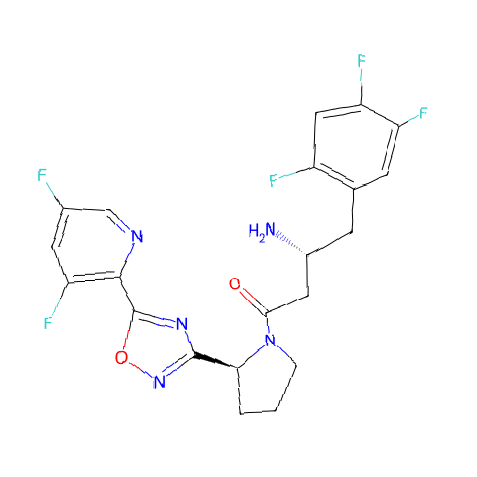 N[C@@H](CC(=O)N1CCC[C@H]1c1noc(-c2ncc(F)cc2F)n1)Cc1cc(F)c(F)cc1F